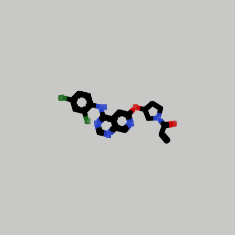 C=CC(=O)N1CCC(Oc2cc3c(Nc4ccc(Cl)cc4Cl)ncnc3cn2)C1